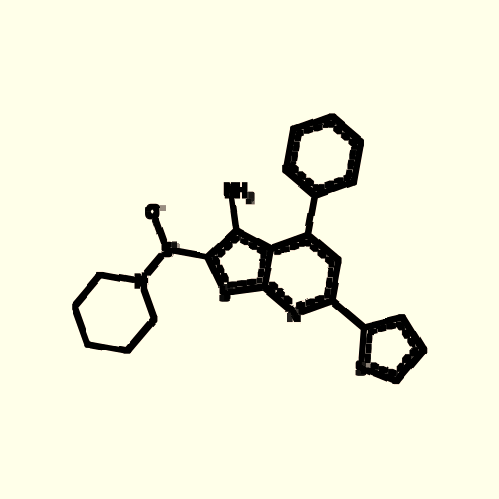 Nc1c([S+]([O-])N2CCCCC2)sc2nc(-c3cccs3)cc(-c3ccccc3)c12